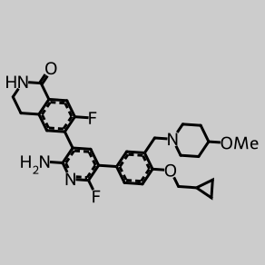 COC1CCN(Cc2cc(-c3cc(-c4cc5c(cc4F)C(=O)NCC5)c(N)nc3F)ccc2OCC2CC2)CC1